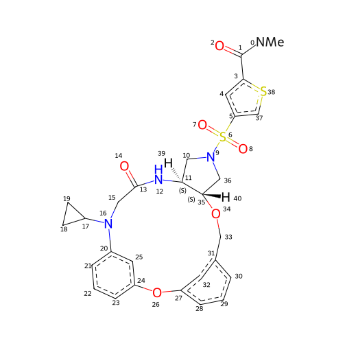 CNC(=O)c1cc(S(=O)(=O)N2C[C@@H]3NC(=O)CN(C4CC4)c4cccc(c4)Oc4cccc(c4)CO[C@H]3C2)cs1